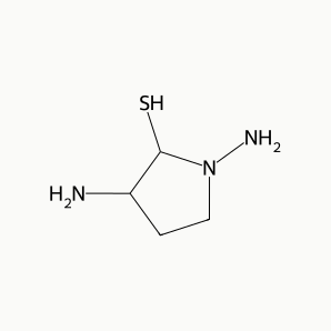 NC1CCN(N)C1S